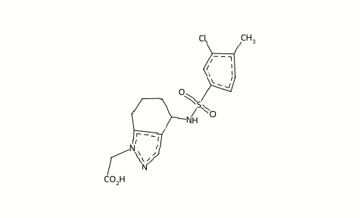 Cc1ccc(S(=O)(=O)NC2CCCc3c2cnn3CC(=O)O)cc1Cl